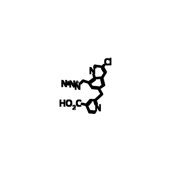 [N-]=[N+]=NCc1cc(Cc2cc(C(=O)O)ccn2)cc2cc(Cl)cnc12